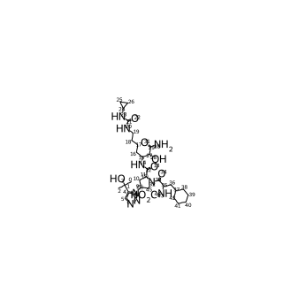 CC(C)(O)c1cnnn1[C@H]1C[C@@H](C(=O)NC(CCCCNC(=O)NC2CC2)C(O)C(N)=O)N(C(=O)C(CC2CCCCC2)NC(=O)O)C1